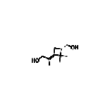 C/C(CO)=C1/C[C@H](CO)C1(C)C